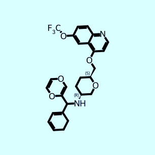 FC(F)(F)Oc1ccc2nccc(OC[C@@H]3CC[C@@H](NC(C4=CC=CCC4)C4=COC=CO4)CO3)c2c1